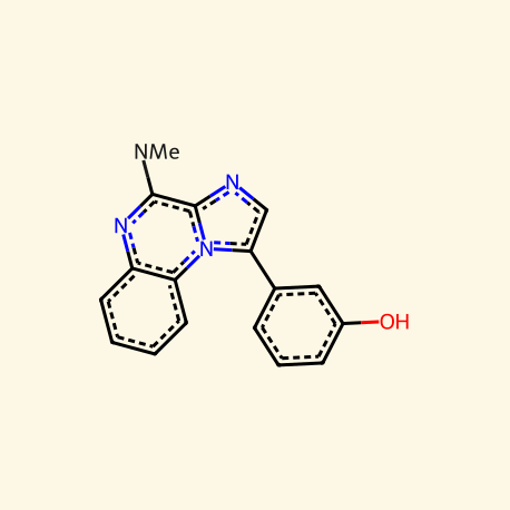 CNc1nc2ccccc2n2c(-c3cccc(O)c3)cnc12